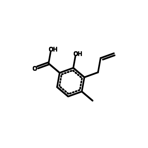 C=CCc1c(C)ccc(C(=O)O)c1O